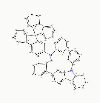 c1ccc(N(Cc2ccccc2-c2ccc3c4ccccc4n(-c4ccccc4)c3c2)c2ccc3c(c2)C(c2ccccc2)(c2ccccc2)c2ccccc2-3)cc1